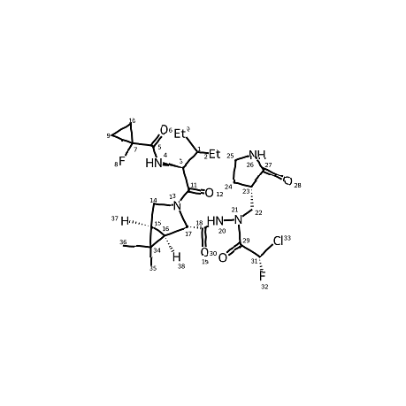 CCC(CC)[C@H](NC(=O)C1(F)CC1)C(=O)N1C[C@H]2[C@@H]([C@H]1C(=O)NN(C[C@@H]1CCNC1=O)C(=O)[C@@H](F)Cl)C2(C)C